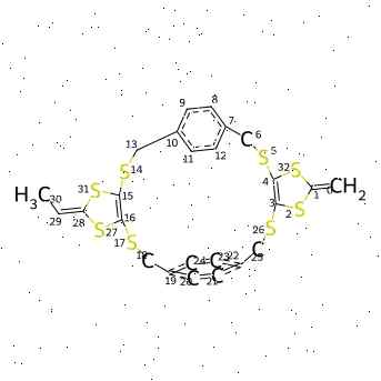 C=C1SC2=C(SCc3ccc(cc3)CSC3=C(SCc4ccc(cc4)CS2)SC(=CC)S3)S1